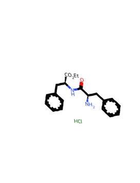 CCOC(=O)[C@H](Cc1ccccc1)NC(=O)[C@H](N)Cc1ccccc1.Cl